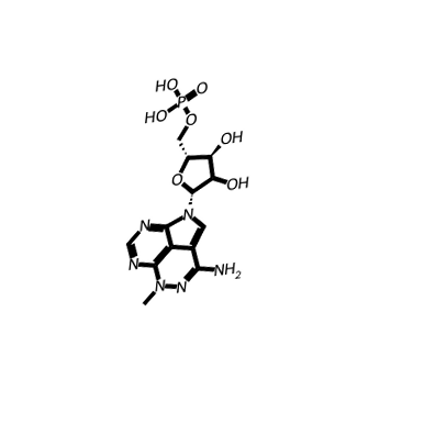 CN1N=C(N)c2cn([C@@H]3O[C@H](COP(=O)(O)O)[C@@H](O)C3O)c3ncnc1c23